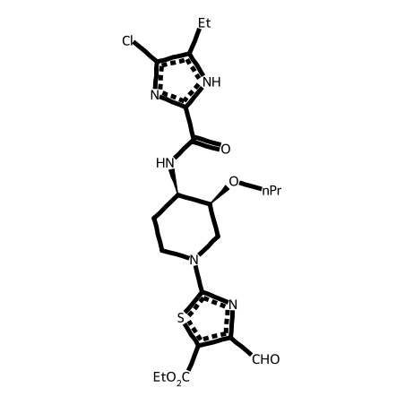 CCCO[C@H]1CN(c2nc(C=O)c(C(=O)OCC)s2)CC[C@H]1NC(=O)c1nc(Cl)c(CC)[nH]1